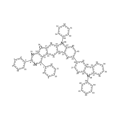 c1ccc(-c2nc(-c3ccccc3)c3c(n2)oc2cc4c(cc23)c2cc(-c3ccc5c(c3)c3ccccc3n5-c3ccccc3)ccc2n4-c2ccccc2)cc1